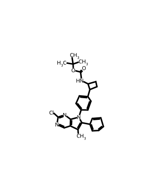 Cc1c(-c2ccccc2)n(-c2ccc(C3CCC3NC(=O)OC(C)(C)C)cc2)c2nc(Cl)ncc12